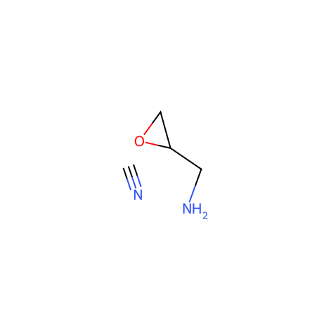 C#N.NCC1CO1